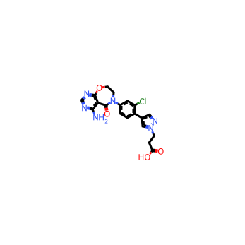 Nc1ncnc2c1C(=O)N(c1ccc(-c3cnn(CCC(=O)O)c3)c(Cl)c1)CCO2